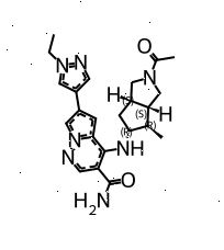 CCn1cc(-c2cc3c(N[C@@H]4C[C@@H]5CN(C(C)=O)C[C@@H]5[C@H]4C)c(C(N)=O)cnn3c2)cn1